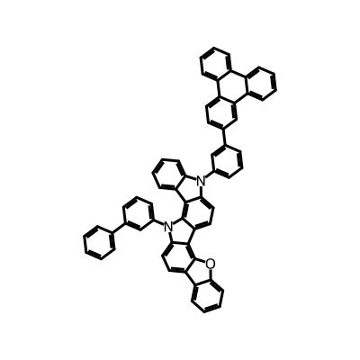 c1ccc(-c2cccc(-n3c4ccc5c6ccccc6oc5c4c4ccc5c(c6ccccc6n5-c5cccc(-c6ccc7c8ccccc8c8ccccc8c7c6)c5)c43)c2)cc1